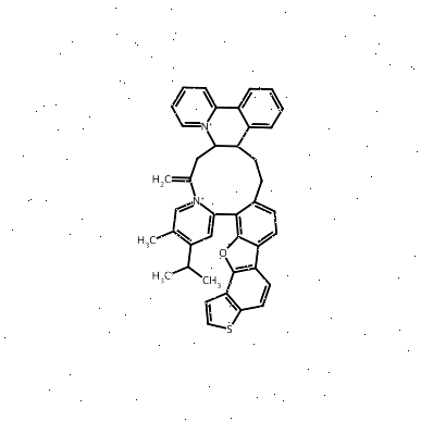 C=C1CC2C(CCc3ccc4c(oc5c6ccsc6ccc45)c3-c3cc(C(C)C)c(C)c[n+]31)c1ccccc1-c1cccc[n+]12